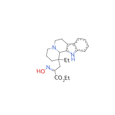 CCOC(=O)C(CC1(CC)CCCN2CCc3c([nH]c4ccccc34)C21)=NO